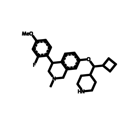 COc1ccc(C2CN(C)Cc3cc(OC(C4CCC4)C4CCNCC4)ccc32)c(F)c1